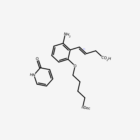 CCCCCCCCCCCCCCOc1cccc(N)c1/C=C/CC(=O)O.O=c1cccc[nH]1